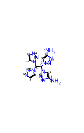 Nc1cn(C(C(n2ccnn2)n2ccnn2)n2cc(N)nn2)nn1